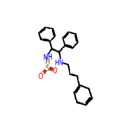 O=[SH](=O)NC(c1ccccc1)C(NCCCC1=CCC=CC1)c1ccccc1